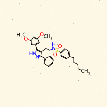 CCCCCc1ccc(S(=O)(=O)NCCc2c(-c3ccccc3)n[nH]c2-c2cc(OC)cc(OC)c2)cc1